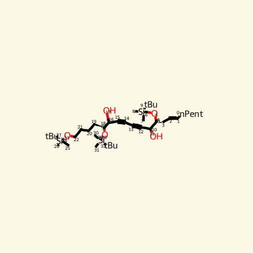 CCCCCC=CC[C@@H](O[Si](C)(C)C(C)(C)C)C(O)C#CC#CC(O)[C@H](CCCCO[Si](C)(C)C(C)(C)C)O[Si](C)(C)C(C)(C)C